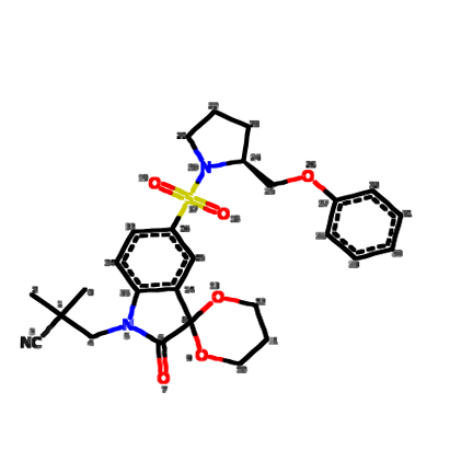 CC(C)(C#N)CN1C(=O)C2(OCCCO2)c2cc(S(=O)(=O)N3CCC[C@H]3COc3ccccc3)ccc21